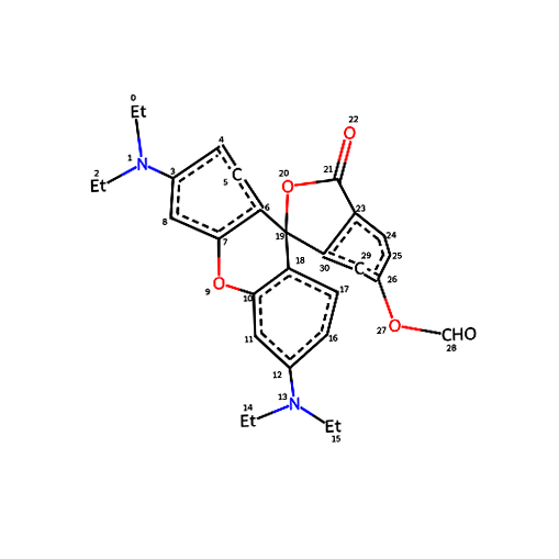 CCN(CC)c1ccc2c(c1)Oc1cc(N(CC)CC)ccc1C21OC(=O)c2ccc(OC=O)cc21